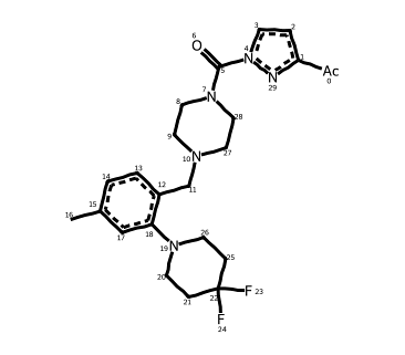 CC(=O)c1ccn(C(=O)N2CCN(Cc3ccc(C)cc3N3CCC(F)(F)CC3)CC2)n1